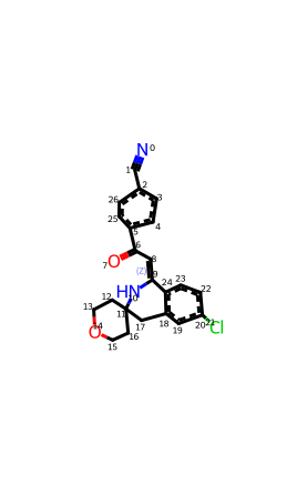 N#Cc1ccc(C(=O)/C=C2\NC3(CCOCC3)Cc3cc(Cl)ccc32)cc1